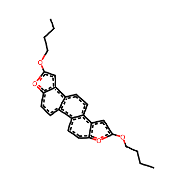 CCCCOc1cc2c(ccc3c2ccc2c4cc(OCCCC)oc4ccc23)o1